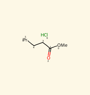 COC(=O)CCC(C)C.Cl